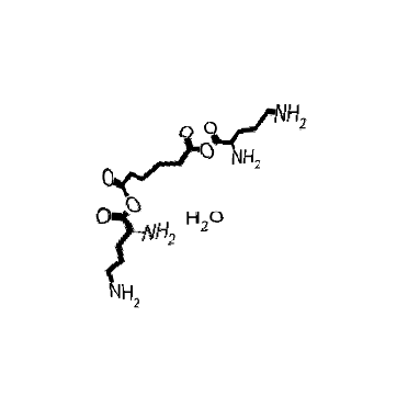 NCCC[C@@H](N)C(=O)OC(=O)CCCCC(=O)OC(=O)[C@H](N)CCCN.O